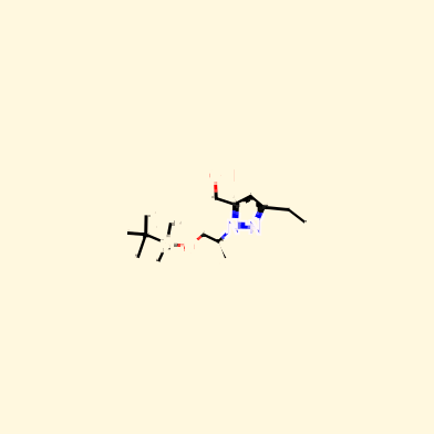 CCc1cc(CO)n([C@@H](C)CO[Si](C)(C)C(C)(C)C)n1